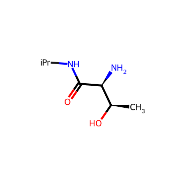 CC(C)NC(=O)[C@@H](N)[C@@H](C)O